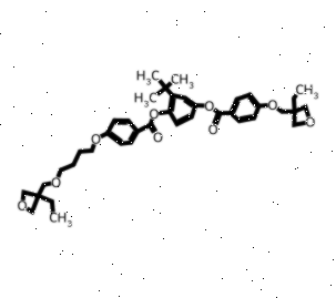 CCC1(COCCCCOc2ccc(C(=O)Oc3ccc(OC(=O)c4ccc(OCC5(CC)COC5)cc4)cc3C(C)(C)C)cc2)COC1